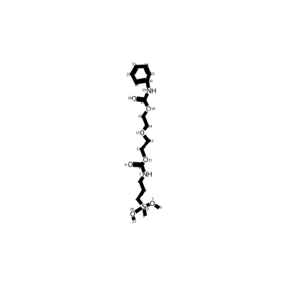 CO[Si](C)(CCCNC(=O)OCCOCCOC(=O)Nc1ccccc1)OC